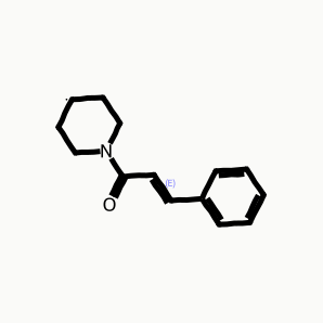 O=C(/C=C/c1ccccc1)N1CC[CH]CC1